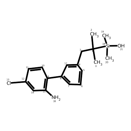 CC(C)(Cc1cccc(-c2ccc(Cl)cc2N)c1)[Si](C)(C)O